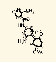 COc1ccc(OC(F)(F)F)c(-c2ccc(NC(=O)c3conc3C)nc2N)c1